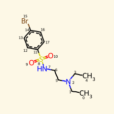 CCN(CC)CCNS(=O)(=O)c1ccc(Br)cc1